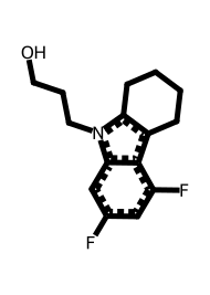 OCCCn1c2c(c3c(F)cc(F)cc31)CCCC2